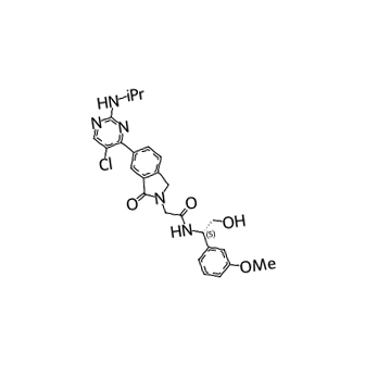 COc1cccc([C@@H](CO)NC(=O)CN2Cc3ccc(-c4nc(NC(C)C)ncc4Cl)cc3C2=O)c1